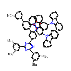 CC(C)(C)c1cc(-c2nc(-c3cc(C(C)(C)C)cc(C(C)(C)C)c3)nc(-c3ccc(-n4c5ccccc5c5cc(-n6c7ccccc7c7ccccc76)ccc54)c(-c4ccc(-c5cccc(C#N)c5)cc4-n4c5ccccc5c5cc(-n6c7ccccc7c7ccccc76)ccc54)c3)n2)cc(C(C)(C)C)c1